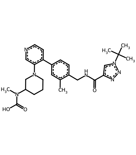 Cc1cc(-c2ccncc2N2CCCC(N(C)C(=O)O)C2)ccc1CNC(=O)c1cn(C(C)(C)C)nn1